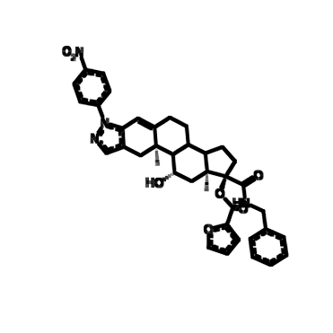 C[C@]12Cc3cnn(-c4ccc([N+](=O)[O-])cc4)c3C=C1CCC1C2[C@@H](O)C[C@@]2(C)C1CC[C@]2(OC(=O)c1ccco1)C(=O)NCc1ccccc1